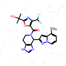 COc1cccn2nc(C3c4nc[nH]c4CCN3C(=O)c3oc(C(C)(C)O)nc3C(F)F)cc12